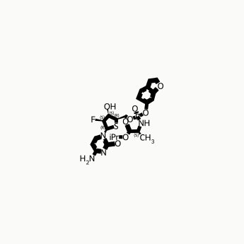 CC(C)OC(=O)[C@H](C)NP(=O)(OC[C@H]1S[C@@H](n2ccc(N)nc2=O)[C@@H](F)[C@@H]1O)Oc1ccc2ccoc2c1